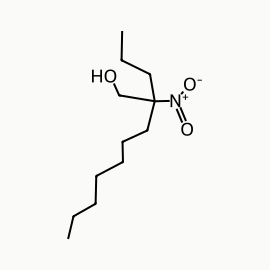 CCCCCCCC(CO)(CCC)[N+](=O)[O-]